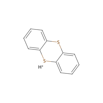 [H+].c1ccc2c(c1)Sc1ccccc1S2